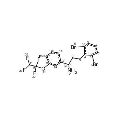 N[C@@H](CCc1c(Br)cccc1Br)c1cccc(OC(F)(F)C(F)F)c1